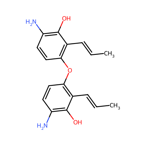 CC=Cc1c(Oc2ccc(N)c(O)c2C=CC)ccc(N)c1O